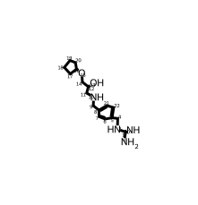 N=C(N)NCc1ccc(CNCC(O)COC2CCCC2)cc1